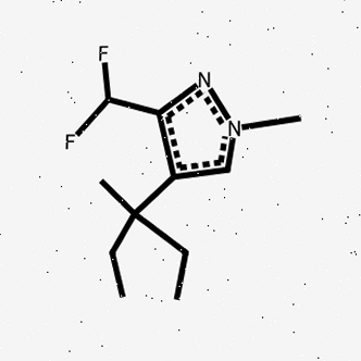 CCC(C)(CC)c1cn(C)nc1C(F)F